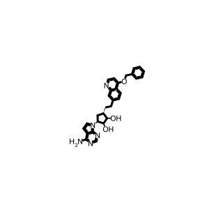 Nc1ncnc2c1ccn2[C@@H]1C[C@H](CCc2ccc3c(OCc4ccccc4)ccnc3c2)[C@@H](O)[C@H]1O